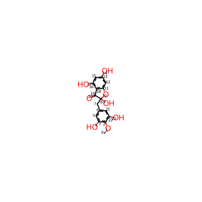 COc1c(O)cc(CC2(O)Oc3cc(O)cc(O)c3C2=O)cc1O